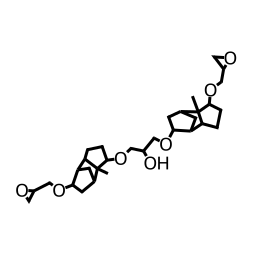 CC12C3CC(OCC4CO4)C(C3)C1CCC2OCC(O)COC1CC2CC1C1CCC(OCC3CO3)C21C